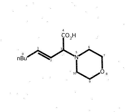 CCCCC=CC(C(=O)O)N1CCOCC1